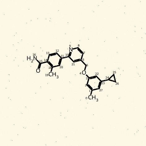 Cc1cc(OCc2ccnc(-c3ccc(C(N)=O)c(C)c3)c2)cc(C2CC2)c1